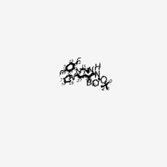 CC(C)(C)OC(=O)Nc1nn2cnc(N3CCC[C@@H]3c3cc(F)ccc3F)cc2c1Br